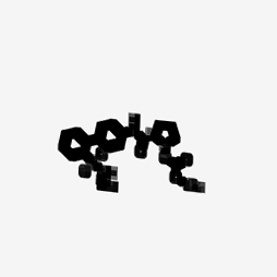 CC(C)(C)NS(=O)(=O)c1ccccc1-c1ccc(NC(=O)[C@@H]2CCCN2OC(=O)OC(C)(C)C)cc1